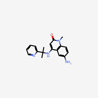 Cn1c(=O)cc(NC(C)(C)c2ccccn2)c2cc(N)ccc21